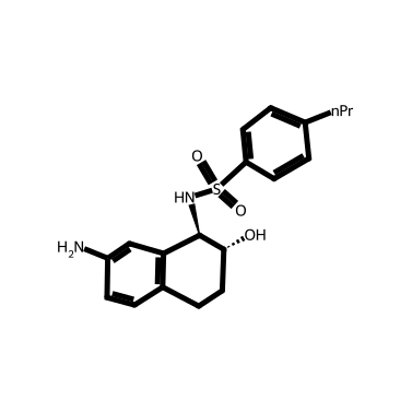 CCCc1ccc(S(=O)(=O)N[C@@H]2c3cc(N)ccc3CC[C@H]2O)cc1